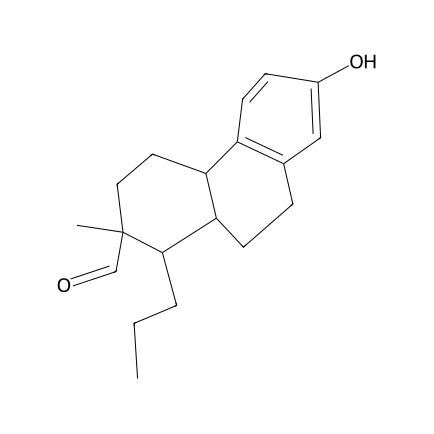 CCCC1C2CCc3cc(O)ccc3C2CCC1(C)C=O